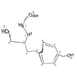 COBNC(CO)Cc1ccc(O)cc1